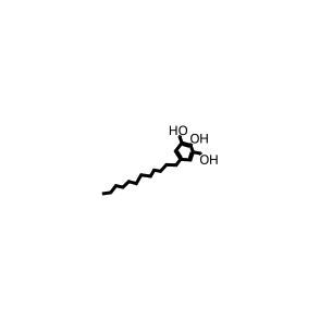 CCCCCCCCCCCCc1cc(CO)c(O)c(CO)c1